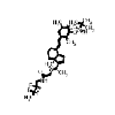 C=C1/C(=C\C=C2/CCC[C@]3(C)C([C@H](C)OCC(=O)NCC(F)(F)C(C)(F)F)=CCC23)CC(C)CC1O[Si](C)(C)C(C)(C)C